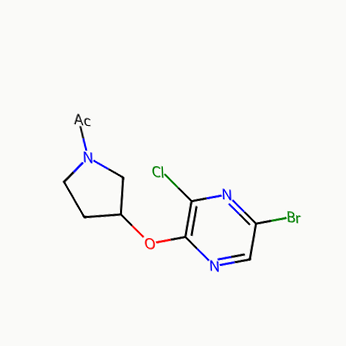 CC(=O)N1CCC(Oc2ncc(Br)nc2Cl)C1